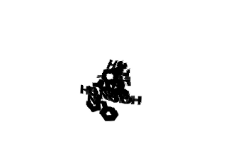 CC1=C[C@]23C(=O)[C@@H](C=C(CO)[C@@H](O)[C@]2(O)[C@H]1NC(O)[C@]1(Cc2ccccc2)CCCN1)[C@H]1[C@@H](C[C@H]3C)C1(C)C